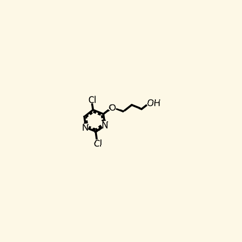 OCCCOc1nc(Cl)ncc1Cl